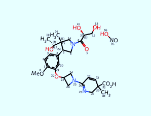 COc1ccc([C@@H]2CN(C(=O)[C@@H](O)CO)C[C@@]2(C)[C@@H](C)O)cc1OC1CN(C2=NCC(C)(C(=O)O)C=C2)C1.O=NO